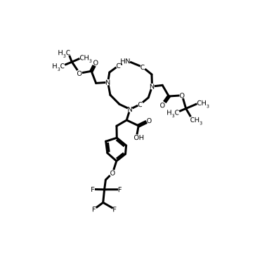 CC(C)(C)OC(=O)CN1CCNCCN(CC(=O)OC(C)(C)C)CCN(C(Cc2ccc(OCC(F)(F)C(F)F)cc2)C(=O)O)CC1